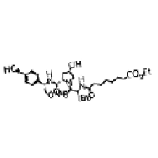 C#Cc1ccc([C@H](COC)NC(=O)[C@@H]2C[C@@H](O)CN2C(=O)[C@@H](NC(=O)CCCCCCC(=O)OCC)C(C)(C)C)cc1